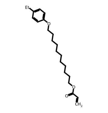 C=CC(=O)OCCCCCCCCCCCOc1ccc(CC)cc1